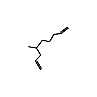 C=CCCCC(C)CC=C